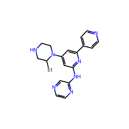 CCC1CNCCN1c1cc(Nc2cnccn2)nc(-c2ccncc2)c1